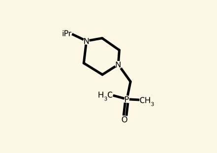 CC(C)N1CCN(CP(C)(C)=O)CC1